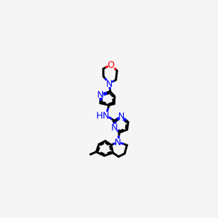 Cc1ccc2c(c1)CCCN2c1ccnc(Nc2ccc(N3CCOCC3)nc2)n1